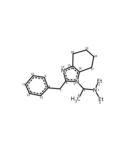 CCN(CC)C(C)n1c(Cc2ccccc2)nc2c1CCCC2